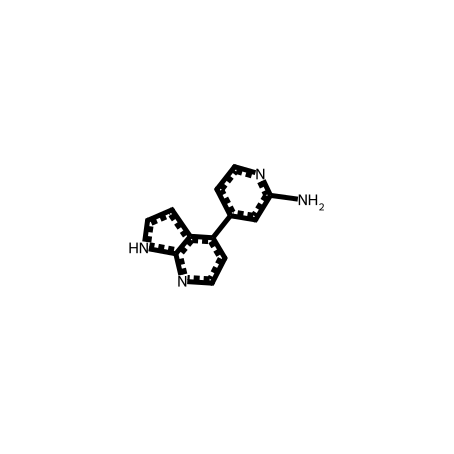 Nc1cc(-c2ccnc3[nH]ccc23)ccn1